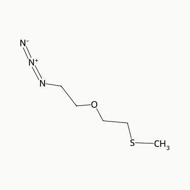 CSCCOCCN=[N+]=[N-]